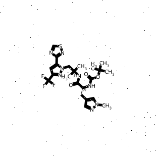 Cn1cc(C[C@@H](NC(=O)OC(C)(C)C)C(=O)NC(C)(C)Cn2nc(C(F)(F)F)cc2-c2ncsn2)cn1